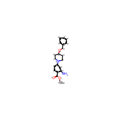 CC(C)(C)OC(=O)c1ccc(N2CCC(OCc3ccccc3)CC2)cc1N